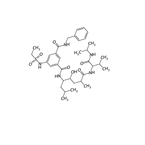 CCS(=O)(=O)Nc1cc(C(=O)NCc2ccccc2)cc(C(=O)NC(CC(C)C)C(O)CC(C)C(=O)NC(C(=O)NC(C)C)C(C)C)c1